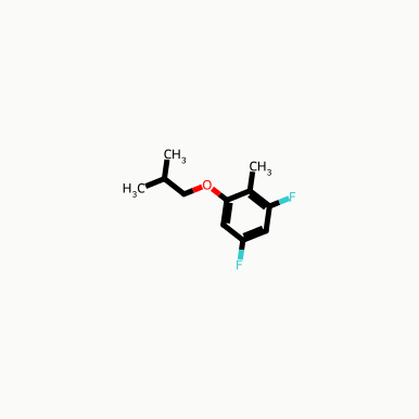 Cc1c(F)cc(F)cc1OCC(C)C